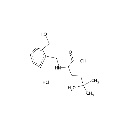 CC(C)(C)CCC(NCc1ccccc1CO)C(=O)O.Cl